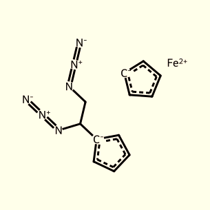 [Fe+2].[N-]=[N+]=NCC(N=[N+]=[N-])[c-]1cccc1.c1cc[cH-]c1